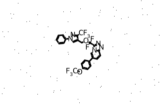 FC(F)(F)Oc1ccc(-c2ccc3nnc(C(F)(F)OCc4cn(-c5ccccc5)nc4C(F)(F)F)n3c2)cc1